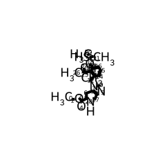 CCOC(=O)C1Cc2c(ncn2Cc2cccc(O[SiH](C)C)c2C(C)(C)C)CN1